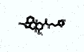 CC(C)n1cc2c3c(cccc31)[C@H]1C[C@@H](C(=O)NCCc3c[nH]cn3)CN(C)[C@@H]1C2